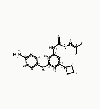 C=C(NN=C(C)C)Nc1cc(N2CCC2)nc(Sc2ccc(N)cc2)n1